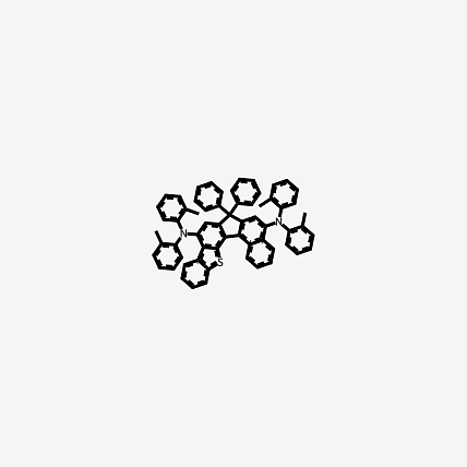 Cc1ccccc1N(c1ccccc1C)c1cc2c(c3ccccc13)-c1c(cc(N(c3ccccc3C)c3ccccc3C)c3c1sc1ccccc13)C2(c1ccccc1)c1ccccc1